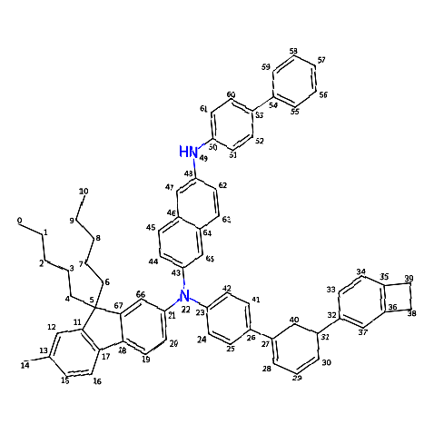 CCCCCC1(CCCCC)c2cc(C)ccc2-c2ccc(N(c3ccc(C4=CC=CC(c5ccc6c(c5)CC6)C4)cc3)c3ccc4cc(Nc5ccc(-c6ccccc6)cc5)ccc4c3)cc21